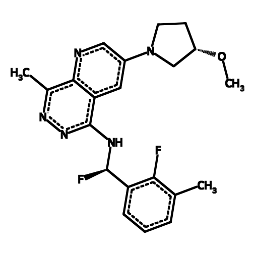 CO[C@H]1CCN(c2cnc3c(C)nnc(N[C@H](F)c4cccc(C)c4F)c3c2)C1